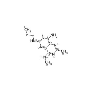 CCCNc1nc(N)c2nc(C)nc(NC)c2n1